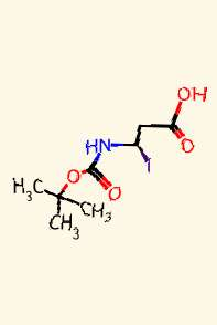 CC(C)(C)OC(=O)N[C@H](I)CC(=O)O